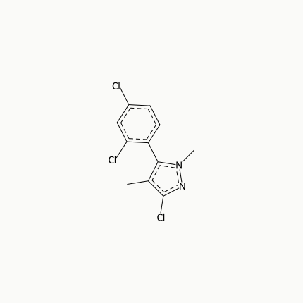 Cc1c(Cl)nn(C)c1-c1ccc(Cl)cc1Cl